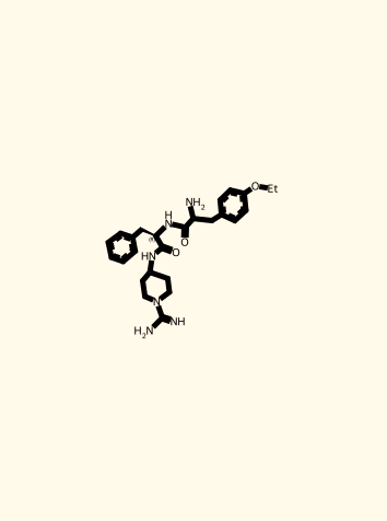 CCOc1ccc(CC(N)C(=O)N[C@H](Cc2ccccc2)C(=O)NC2CCN(C(=N)N)CC2)cc1